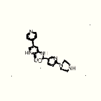 O=C(Nc1cc(-c2ccncc2)c[nH]c1=O)c1ccc(N2CCNCC2)nc1